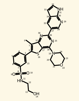 Cc1c(-c2cccc(S(=O)(=O)NCCO)c2)sc2c(N3CCOCC3)nc(-c3cnc4[nH]ccc4c3)nc12